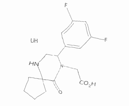 O=C(O)CN1C(=O)C2(CCCC2)NCC1c1cc(F)cc(F)c1.[LiH]